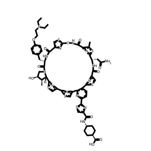 CCN(CC)CCOc1ccc(C[C@@H]2NC(=O)c3csc(n3)CNC(=O)c3nc(sc3C)[C@H](CC(N)=O)NC(=O)c3csc(n3)-c3ccc(-c4nc(C(=O)N[C@H]5CC[C@H](C(=O)O)CC5)cs4)nc3-c3csc(n3)-c3csc(n3)[C@@H]3[C@@H](C)[C@@H](O)CN3C2=O)cc1